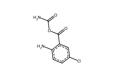 NC(=O)OC(=O)c1cc(Cl)ccc1N